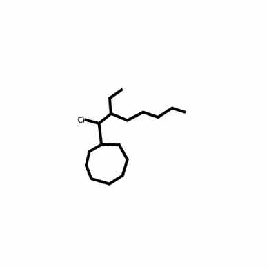 CCCCCC(CC)C(Cl)C1CCCCCCC1